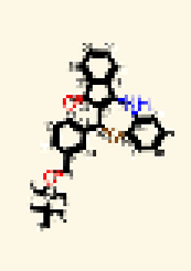 CC(C)(C)[Si](C)(C)OCc1cccc(C2Sc3ccccc3NC3=C2C(=O)c2ccccc23)c1